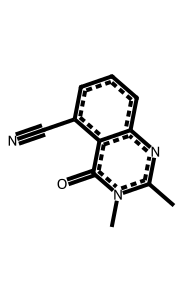 Cc1nc2cccc(C#N)c2c(=O)n1C